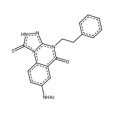 CC(=O)Nc1ccc2c(c1)c(=O)n(CCc1ccccc1)c1n[nH]c(=S)n21